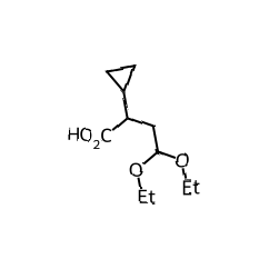 CCOC(CC(C(=O)O)C1CC1)OCC